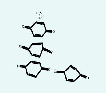 O=C1C=CC(=O)C=C1.O=C1C=CC(=O)C=C1.O=C1C=CC(=O)C=C1.O=C1C=CC(=O)C=C1.S.S